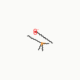 CCCCCCCCC=CCCCCCCCC(=O)[O-].CCCCCCCCCCCCCC[P+](CCCCCC)(CCCCCC)CCCCCC